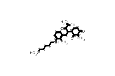 C=C(C)C(=O)C(Cc1cccc(NCCCCCC(=O)O)c1C)C1CCC(=O)C(=C)C1=O